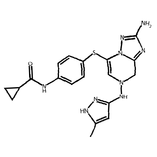 Cc1cc(NN2C=C(Sc3ccc(NC(=O)C4CC4)cc3)n3nc(N)nc3C2)n[nH]1